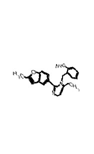 COc1ccccc1Cn1c(C)cnc1-c1ccc2oc(C)cc2c1